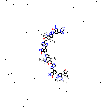 CC(c1ccc(Nc2ccc(-c3cnc4c(C5CC([C@@H](C)c6ccc(Nc7ccc(-c8cnc9c(C%10CC([C@H](C)c%11ccc(Nc%12ccc(-c%13cnc%14cnccn%13%14)c%13c%12C(=O)NC%13)nc%11CN(C)C)CCO%10)nccn89)c8c7C(=O)NC8)nc6CN(C)C)CCO5)nccn34)c3c2C(=O)NC3)nc1CN(C)C)C1CCOCC1